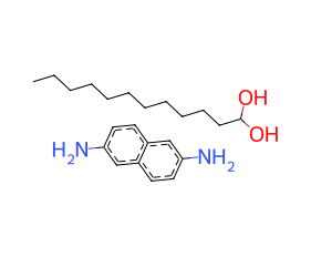 CCCCCCCCCCCC(O)O.Nc1ccc2cc(N)ccc2c1